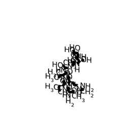 C=C(N)NCCC[C@@H](NC(=O)[C@H](CC(C)C)NC(=O)[C@@H](N)[C@@H](C)O)C(=O)N[C@H](C(=O)N[C@H](C(=O)NCC(=O)N[C@@H](CO)C(=O)N[C@@H](CO)C(=O)O)[C@H](C)O)[C@@H](C)CC